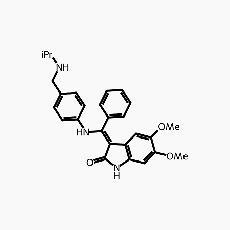 COc1cc2c(cc1OC)/C(=C(/Nc1ccc(CNC(C)C)cc1)c1ccccc1)C(=O)N2